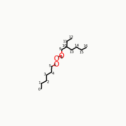 CCCCCCOOOCC(CC)CCCC